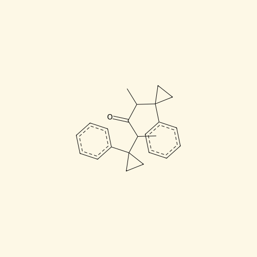 CC(C(=O)C(C)C1(c2ccccc2)CC1)C1(c2ccccc2)CC1